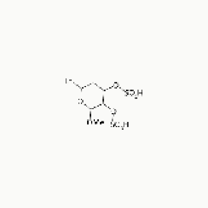 CCC1CC(OS(=O)(=O)O)C(OS(=O)(=O)O)C(OC)O1